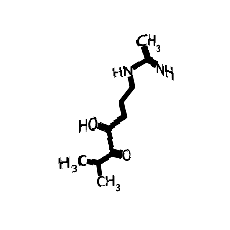 CC(=N)NCCCC(O)C(=O)C(C)C